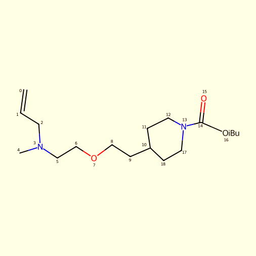 C=CCN(C)CCOCCC1CCN(C(=O)OCC(C)C)CC1